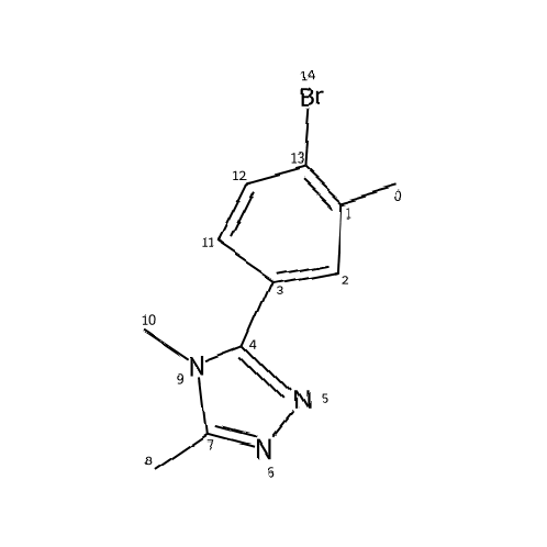 Cc1cc(-c2nnc(C)n2C)ccc1Br